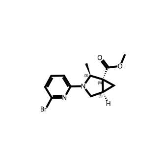 COC(=O)[C@]12C[C@H]1CN(c1cccc(Br)n1)[C@H]2C